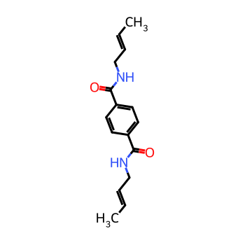 C/C=C/CNC(=O)c1ccc(C(=O)NC/C=C/C)cc1